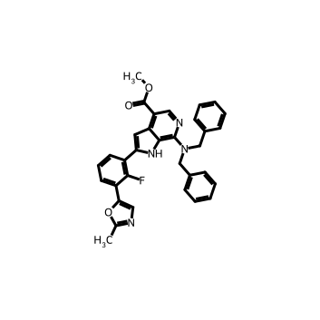 COC(=O)c1cnc(N(Cc2ccccc2)Cc2ccccc2)c2[nH]c(-c3cccc(-c4cnc(C)o4)c3F)cc12